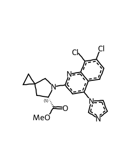 COC(=O)[C@@H]1CC2(CC2)CN1c1cc(-n2ccnc2)c2ccc(Cl)c(Cl)c2n1